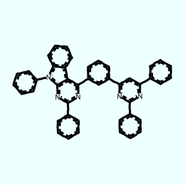 c1ccc(-c2cc(-c3cccc(-c4nc(-c5ccccc5)nc5c4c4ccccc4n5-c4ccccc4)c3)nc(-c3ccccc3)n2)cc1